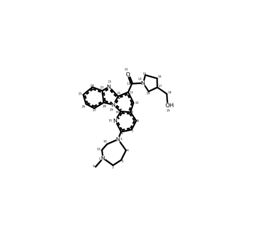 CN1CCCN(c2ccc3cc(C(=O)N4CCC(CO)C4)c4nc5ccccc5n4c3n2)CC1